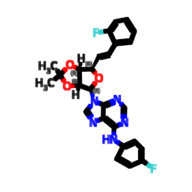 CC1(C)O[C@@H]2[C@H](O1)[C@@H](C=Cc1ccccc1F)O[C@H]2n1cnc2c(Nc3ccc(F)cc3)ncnc21